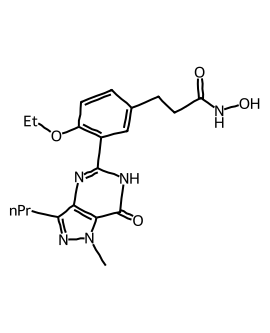 CCCc1nn(C)c2c(=O)[nH]c(-c3cc(CCC(=O)NO)ccc3OCC)nc12